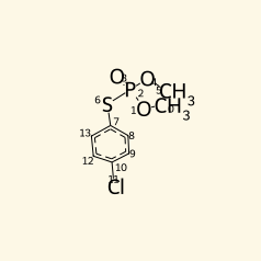 COP(=O)(OC)Sc1ccc(Cl)cc1